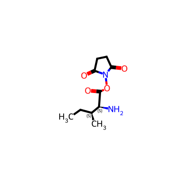 CC[C@H](C)[C@H](N)C(=O)ON1C(=O)CCC1=O